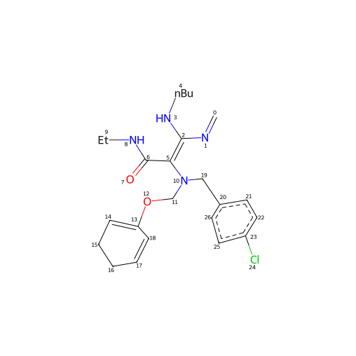 C=N/C(NCCCC)=C(/C(=O)NCC)N(COC1=CCCC=C1)Cc1ccc(Cl)cc1